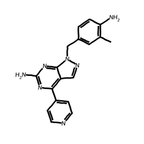 Cc1cc(Cn2ncc3c(-c4ccncc4)nc(N)nc32)ccc1N